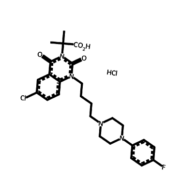 CC(C)(C(=O)O)n1c(=O)c2cc(Cl)ccc2n(CCCCN2CCN(c3ccc(F)cc3)CC2)c1=O.Cl